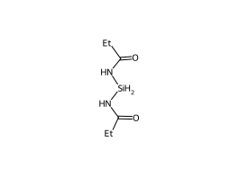 CCC(=O)N[SiH2]NC(=O)CC